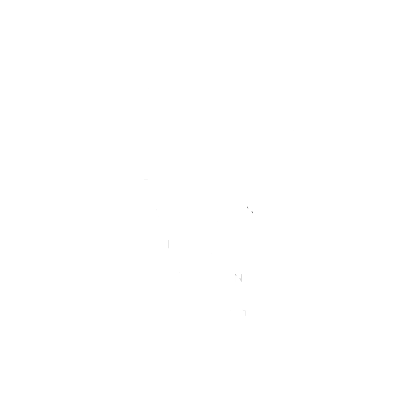 CCCN(C)C(=O)c1nc2ccccc2c(-c2ccccc2)c1S(F)(F)F